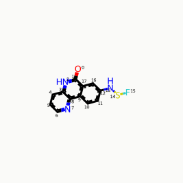 O=c1[nH]c2cccnc2c2ccc(NSF)cc12